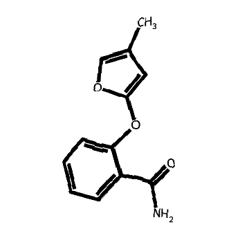 Cc1coc(Oc2ccccc2C(N)=O)c1